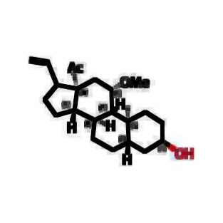 C=CC1CC[C@H]2[C@@H]3CC[C@H]4C[C@H](O)CC[C@]4(C)[C@H]3[C@@H](OC)C[C@]12C(C)=O